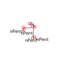 CCCCCC(CCCCC)CCOC(=O)CCCCCCCCC1(CCCCCCCCC(=O)OCCC(CCCCC)CCCCC)OCC(CN2CCOCC2)O1